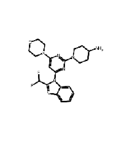 NC1CCN(c2nc(N3CCOCC3)cc(-n3c(C(F)F)nc4ccccc43)n2)CC1